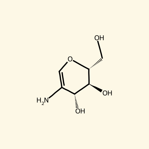 NC1=CO[C@H](CO)[C@@H](O)[C@@H]1O